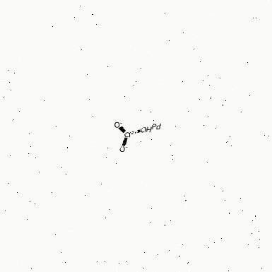 [O-][Cl+2]([O-])O.[Pd]